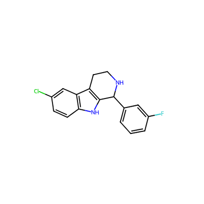 Fc1cccc(C2NCCc3c2[nH]c2ccc(Cl)cc32)c1